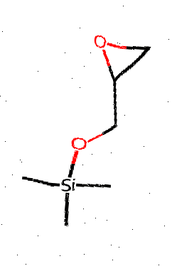 C[Si](C)(C)OCC1CO1